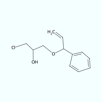 C=CC(OCC(O)CCl)c1ccccc1